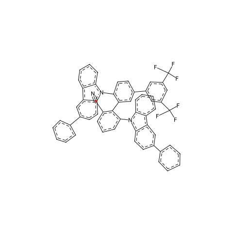 N#Cc1cccc(-n2c3ccccc3c3cc(-c4ccccc4)ccc32)c1-c1cc(-c2cc(C(F)(F)F)cc(C(F)(F)F)c2)ccc1-n1c2ccccc2c2cc(-c3ccccc3)ccc21